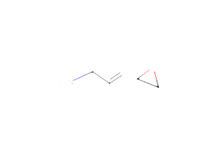 C1CO1.C=CCN